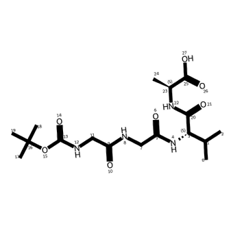 CC(C)[C@H](NC(=O)CNC(=O)CNC(=O)OC(C)(C)C)C(=O)N[C@@H](C)C(=O)O